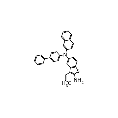 C/C=C\c1c(N)sc2ccc(N(c3ccc(-c4ccccc4)cc3)c3ccc4ccccc4c3)cc12